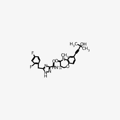 CN1C(=O)[C@@H](NC(=O)c2n[nH]c(Cc3ccc(F)cc3F)n2)COc2ccc(C#CC(C)(C)O)cc21